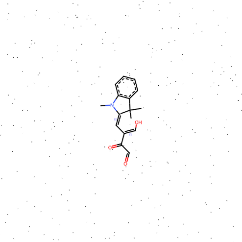 CN1/C(=C/C(=C\O)C(=O)C=O)C(C)(C)c2ccccc21